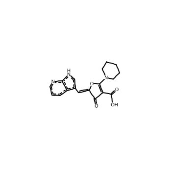 O=C(O)C1=C(N2CCCCC2)OC(=Cc2c[nH]c3ncccc23)C1=O